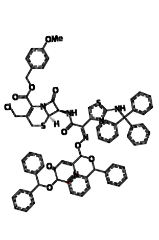 COc1ccc(COC(=O)C2=C(CCl)CS[C@@H]3[C@H](NC(=O)/C(=N\OC(OC(c4ccccc4)c4ccccc4)C4=CC(=O)C(OC(c5ccccc5)c5ccccc5)C=N4)c4csc(NC(c5ccccc5)(c5ccccc5)c5ccccc5)n4)C(=O)N23)cc1